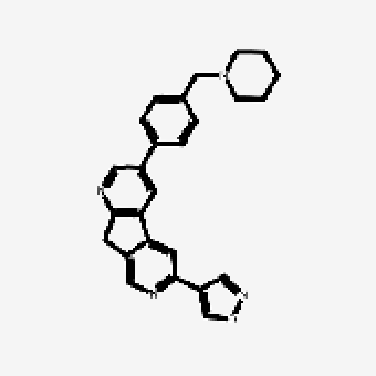 c1cc(-c2cnc3c(c2)-c2cc(-c4cnoc4)ncc2C3)ccc1CN1CCCCC1